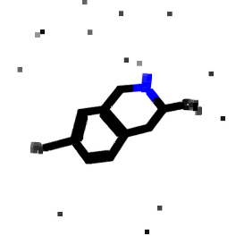 CC1Cc2ccc(C(C)C)cc2CN1